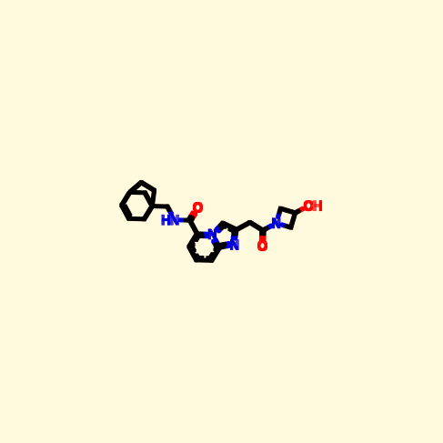 O=C(NCC12CC=CC(CC1)C2)c1cccc2nc(CC(=O)N3CC(O)C3)cn12